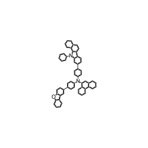 c1ccc(-n2c3cc(-c4ccc(N(c5ccc(-c6ccc7oc8ccccc8c7c6)cc5)c5cc6ccccc6c6ccccc56)cc4)ccc3c3ccc4ccccc4c32)cc1